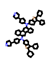 c1ccc(-c2sc3cc(N(c4ccc(-c5ccncc5)cc4)c4cc5c6ccccc6c(N(c6ccc(-c7ccncc7)cc6)c6ccc7c(-c8ccccc8)c(-c8ccccc8)sc7c6)cc5c5ccccc45)ccc3c2-c2ccccc2)cc1